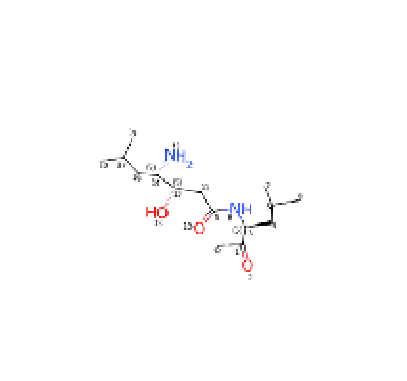 CC(=O)[C@H](CC(C)C)NC(=O)C[C@H](O)[C@@H](N)CC(C)C